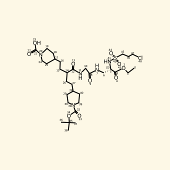 CCOC(=O)[C@H](CNC(=O)CNC(=O)C(CCC1CCN(C(=O)O)CC1)CCC1CCN(C(=O)OC(C)(C)C)CC1)NS(=O)(=O)CCCCl